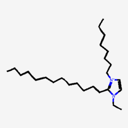 CCCCCCCCCCCCCc1n(CC)cc[n+]1CCCCCCCC